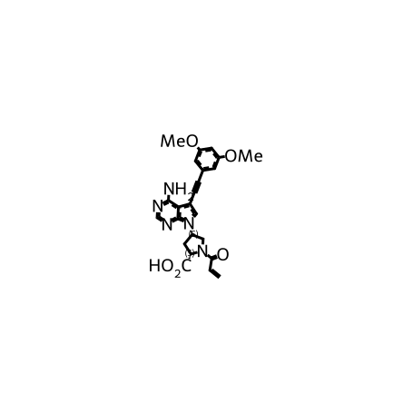 C=CC(=O)N1C[C@@H](n2cc(C#Cc3cc(OC)cc(OC)c3)c3c(N)ncnc32)C[C@H]1C(=O)O